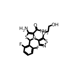 NC(=O)C1=C(N)SC(c2c(F)cccc2F)N1c1cnsc1OCCO